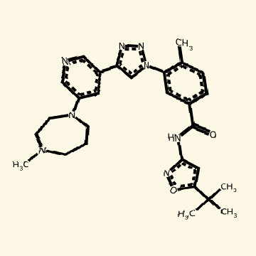 Cc1ccc(C(=O)Nc2cc(C(C)(C)C)on2)cc1-n1cc(-c2cncc(N3CCCN(C)CC3)c2)nn1